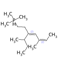 C/C=C(C)\C=C(\CC[PH](C)(C)C)C(C)CC